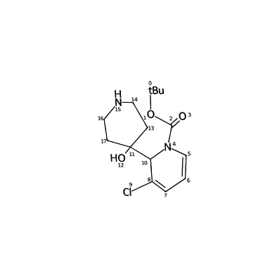 CC(C)(C)OC(=O)N1C=CC=C(Cl)C1C1(O)CCNCC1